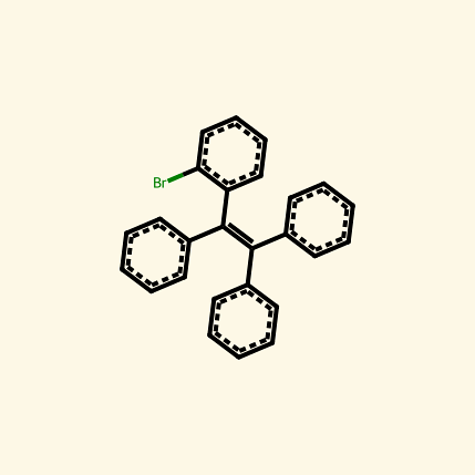 Brc1ccccc1C(=C(c1ccccc1)c1ccccc1)c1ccccc1